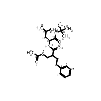 CC(=O)SCC(CCc1ccccc1)C(=O)N[C@@H](CC(C)C)C(=O)OC(C)(C)C